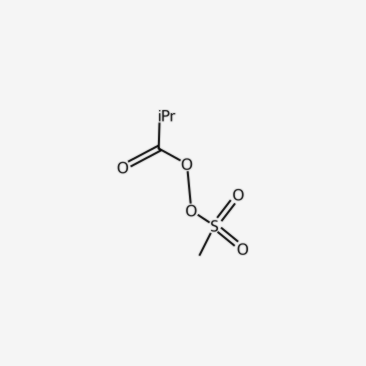 CC(C)C(=O)OOS(C)(=O)=O